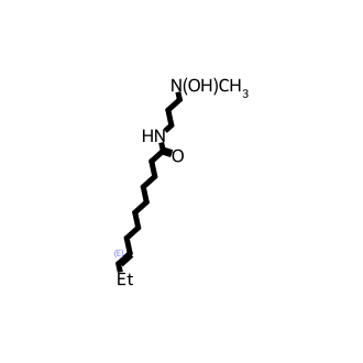 CC/C=C/CCCCCCCC(=O)NCCCN(C)O